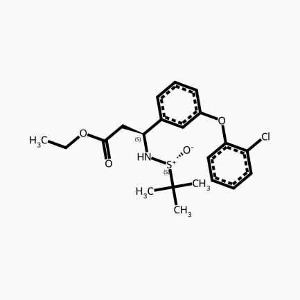 CCOC(=O)C[C@H](N[S@+]([O-])C(C)(C)C)c1cccc(Oc2ccccc2Cl)c1